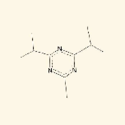 Cc1nc(C(C)C)nc(C(C)C)n1